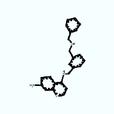 Nc1ccc2c(NCc3cccc(CNCc4ccccc4)c3)ccnc2c1